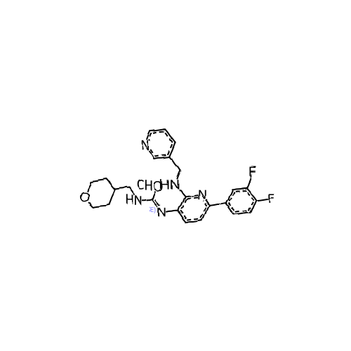 O=C/C(=N\c1ccc(-c2ccc(F)c(F)c2)nc1NCc1cccnc1)NCC1CCOCC1